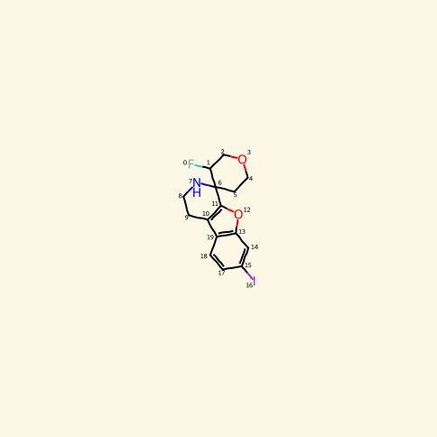 FC1COCCC12NCCc1c2oc2cc(I)ccc12